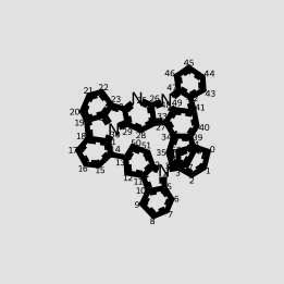 c1ccc(-n2c3ccccc3c3cc(-c4cccc5c6cccc7c8nc9c(cc8n(c45)c67)c4c5ccccc5cc5c6ccccc6n9c54)ccc32)cc1